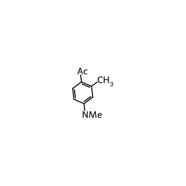 CNc1ccc(C(C)=O)c(C)c1